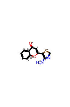 Nc1ncsc1-c1cc(=O)c2ccccc2o1